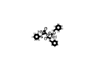 O=C(N[C@@H](Cc1ccccc1)C(=O)N[C@H]1C(=O)N[C@H]1Sc1ccccc1)OCc1ccccc1